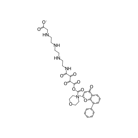 O=C([O-])CNCCNCCNCCNC(=O)C(=O)C(=O)C(=O)OC(=O)[N+]1(c2cc(=O)c3cccc(-c4ccccc4)c3o2)CCOCC1